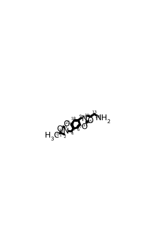 CC1CN(Cc2ccc(CN3CC(CN)OC3=O)cc2)C(=O)O1